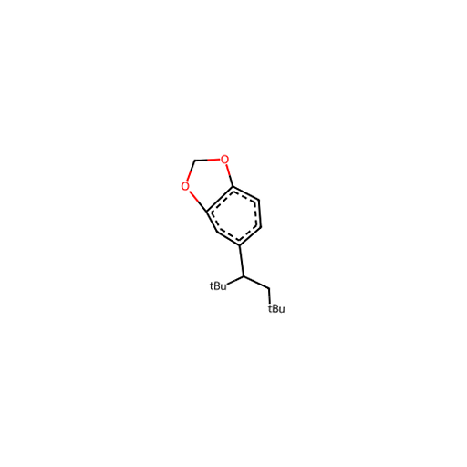 CC(C)(C)CC(c1ccc2c(c1)OCO2)C(C)(C)C